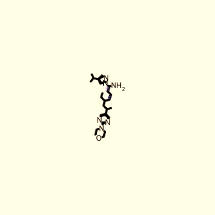 CCC(/C=C\C=C(/N)n1cc(C(C)C)cn1)CC(C)c1cnc(N2CCOCC2)nc1